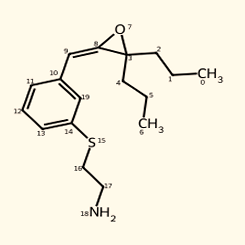 CCCC1(CCC)OC1=Cc1cccc(SCCN)c1